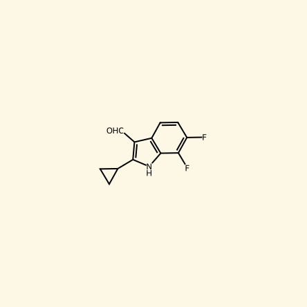 O=Cc1c(C2CC2)[nH]c2c(F)c(F)ccc12